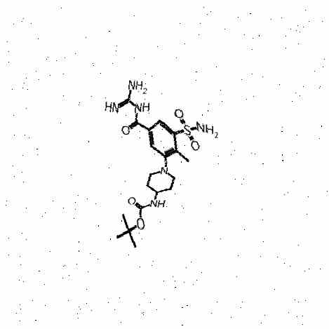 Cc1c(N2CCC(NC(=O)OC(C)(C)C)CC2)cc(C(=O)NC(=N)N)cc1S(N)(=O)=O